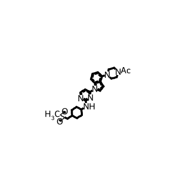 CC(=O)N1CCN(c2cccc3c2ccn3-c2ccnc(NC3CCC(CS(C)(=O)=O)CC3)n2)CC1